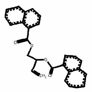 C=CC(COC(=O)c1cccc2ccccc12)OC(=O)c1cccc2ccccc12